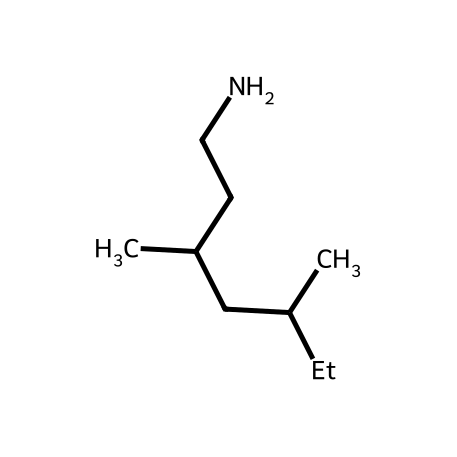 CCC(C)CC(C)CCN